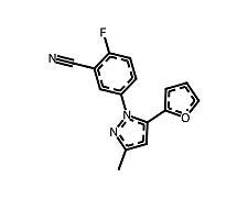 Cc1cc(-c2ccco2)n(-c2ccc(F)c(C#N)c2)n1